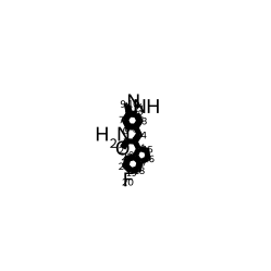 NC(=O)C(=Cc1ccc2cn[nH]c2c1)C1CCc2cc(F)ccc21